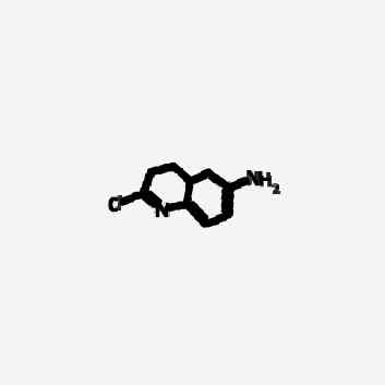 NC1=CC=C2N=C(Cl)CCC2C1